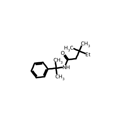 CCC(C)(C)CC(=O)NC(C)(C)c1ccccc1